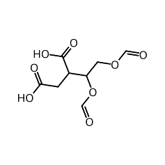 O=COCC(OC=O)C(CC(=O)O)C(=O)O